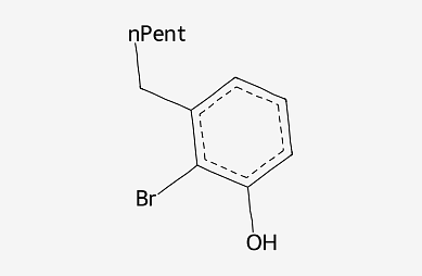 CCCCCCc1cccc(O)c1Br